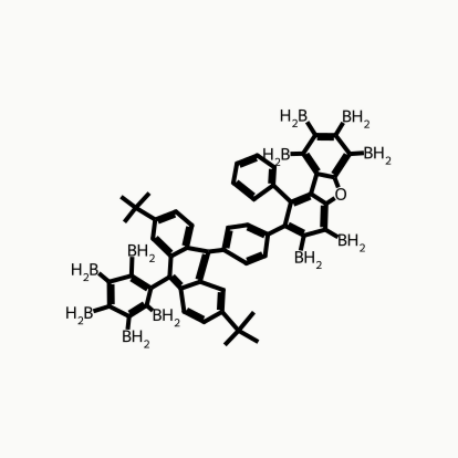 Bc1c(B)c(B)c(-c2c3ccc(C(C)(C)C)cc3c(-c3ccc(-c4c(B)c(B)c5oc6c(B)c(B)c(B)c(B)c6c5c4-c4ccccc4)cc3)c3ccc(C(C)(C)C)cc23)c(B)c1B